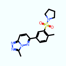 Cc1ccc(-c2ccc3nnc(C)n3n2)cc1S(=O)(=O)N1CCCC1